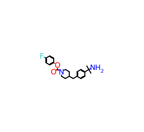 CC(C)(N)c1ccc(CC2CCN(C(=O)Oc3ccc(F)cc3)CC2)cc1